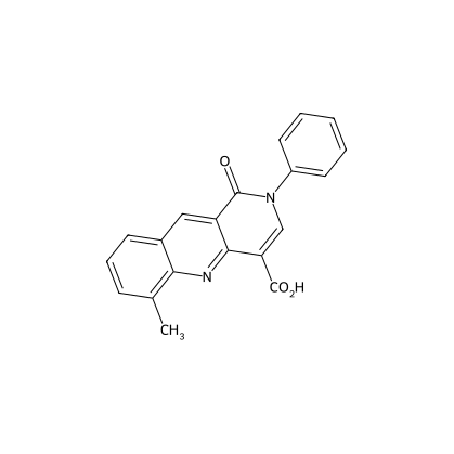 Cc1cccc2cc3c(=O)n(-c4ccccc4)cc(C(=O)O)c3nc12